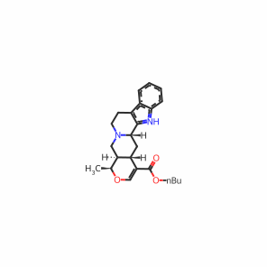 CCCCOC(=O)C1=CO[C@@H](C)[C@H]2CN3CCc4c([nH]c5ccccc45)[C@@H]3C[C@H]12